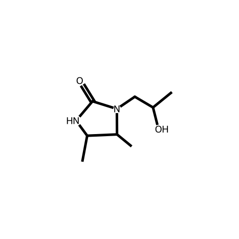 CC(O)CN1C(=O)NC(C)C1C